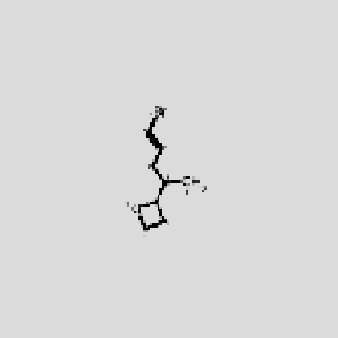 CC(CC=CBr)C1CCO1